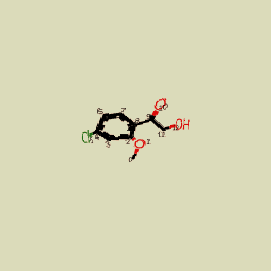 COc1cc(Cl)ccc1C(=O)CO